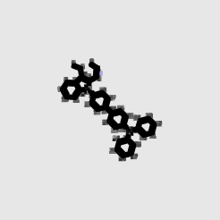 C/C=C\c1c(CC)c2ccccc2n1-c1ccc(-c2ccc(N(c3ccccc3)c3ccccc3)cc2)cc1